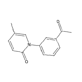 CC(=O)c1cccc(-n2cc(C)ccc2=O)c1